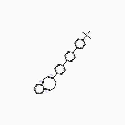 C[Si](C)(C)c1ccc(-c2ccc(-c3ccc(/C4=C/C=c5/cccc/c5=C/CC4)cc3)cc2)cc1